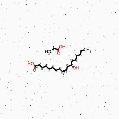 C=CC(=O)O.CCCCCC[C@@H](O)C/C=C\CCCCCCCC(=O)O